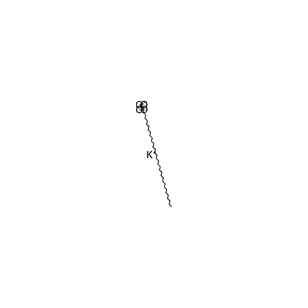 CCCCCCCCCCCCCCCCCCCCCCCCCCCCCCCCCCOS(=O)(=O)[O-].[K+]